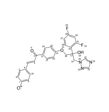 O=C(/C=C/c1ccc(Cl)cc1)c1ccc(OCC(O)(Cn2cncn2)c2ccc(F)cc2F)cc1